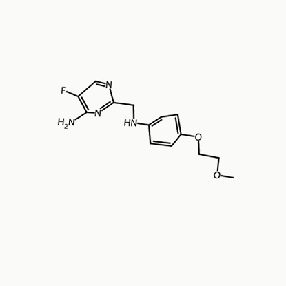 COCCOc1ccc(NCc2ncc(F)c(N)n2)cc1